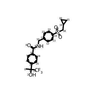 CC(O)(c1ccc(C(=O)NCc2ccc(S(=O)(=O)CC3CC3)cc2)cc1)C(F)(F)F